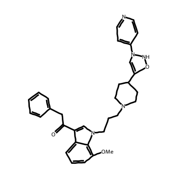 COc1cccc2c(C(=O)Cc3ccccc3)cn(CCCN3CCC(C4=CN(c5ccncc5)NO4)CC3)c12